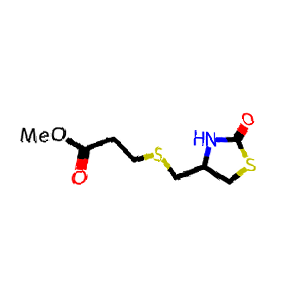 COC(=O)CCSCC1CSC(=O)N1